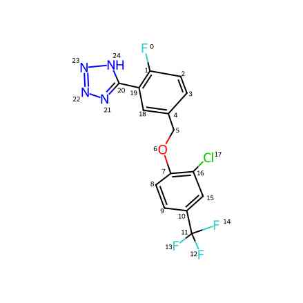 Fc1ccc(COc2ccc(C(F)(F)F)cc2Cl)cc1-c1nnn[nH]1